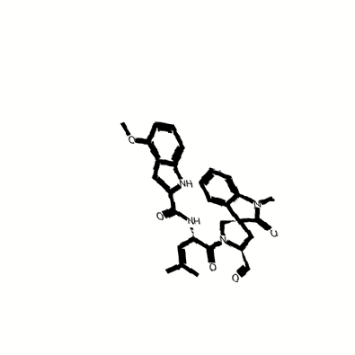 COc1cccc2[nH]c(C(=O)N[C@@H](C=C(C)C)C(=O)N3C[C@]4(C[C@H]3C=O)C(=O)N(C)c3ccccc34)cc12